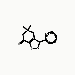 CC1(C)CC(=O)C2=C(C1)C(c1ccccn1)SS2